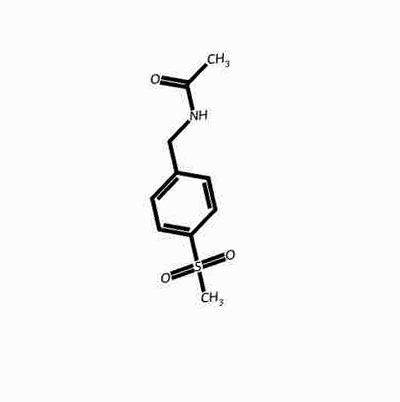 CC(=O)NCc1ccc(S(C)(=O)=O)cc1